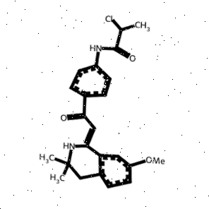 COc1ccc2c(c1)C(=CC(=O)c1ccc(NC(=O)C(C)Cl)cc1)NC(C)(C)C2